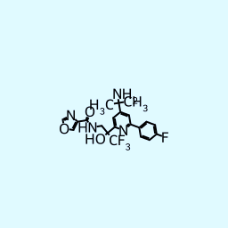 CC(C)(N)c1cc(-c2ccc(F)cc2)nc(C(O)(CNC(=O)c2cocn2)C(F)(F)F)c1